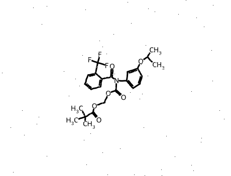 CC(C)Oc1cccc(N(C(=O)OCOC(=O)C(C)(C)C)C(=O)c2ccccc2C(F)(F)F)c1